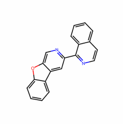 c1ccc2c(-c3cc4c(cn3)oc3ccccc34)nccc2c1